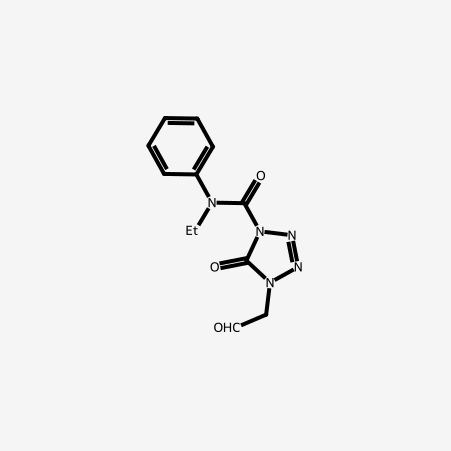 CCN(C(=O)n1nnn(CC=O)c1=O)c1ccccc1